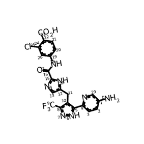 Nc1ccc(-c2[nH]nc(C(F)(F)F)c2Cc2cnc(C(=O)Nc3ccc(C(=O)O)c(Cl)c3)[nH]2)nc1